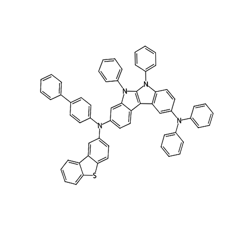 c1ccc(-c2ccc(N(c3ccc4sc5ccccc5c4c3)c3ccc4c5c6cc(N(c7ccccc7)c7ccccc7)ccc6n(-c6ccccc6)c5n(-c5ccccc5)c4c3)cc2)cc1